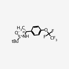 C[C@@H](N[S+]([O-])C(C)(C)C)c1ccc(OC(F)(F)C(F)(F)F)cc1